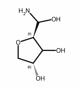 NC(O)[C@@H]1OC[C@@H](O)[C]1O